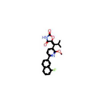 COc1nc(-c2ccc3cccc(F)c3c2)ccc1/C(=C1/OC(=O)NC1=O)C(C)C